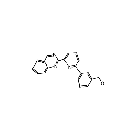 OCc1cccc(-c2cccc(-c3ncc4ccccc4n3)n2)c1